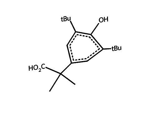 CC(C)(C)c1cc(C(C)(C)C(=O)O)cc(C(C)(C)C)c1O